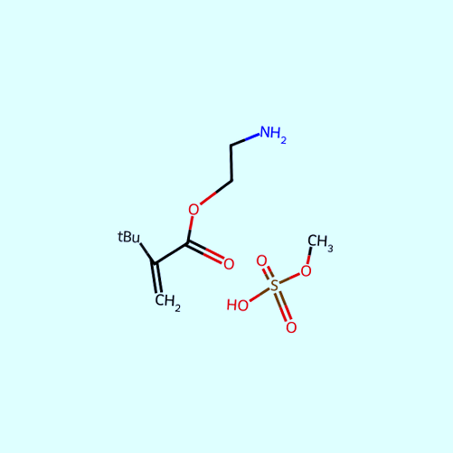 C=C(C(=O)OCCN)C(C)(C)C.COS(=O)(=O)O